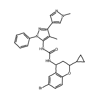 Cc1c(-c2cnn(C)c2)nn(-c2ccccc2)c1NC(=O)NC1CC(C2CC2)Oc2ccc(Br)cc21